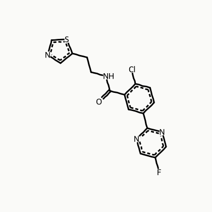 O=C(NCCc1cncs1)c1cc(-c2ncc(F)cn2)ccc1Cl